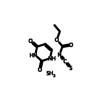 CCOC(=O)N=C=S.O=c1cc[nH]c(=O)[nH]1.S